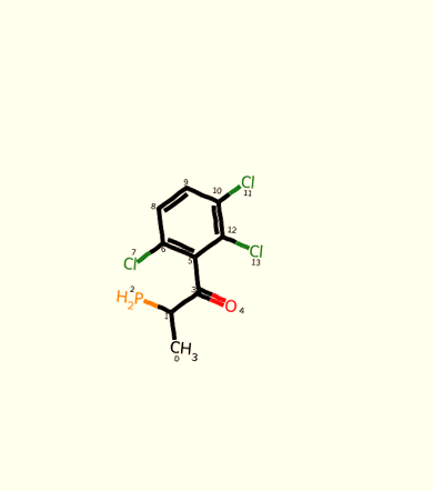 CC(P)C(=O)c1c(Cl)ccc(Cl)c1Cl